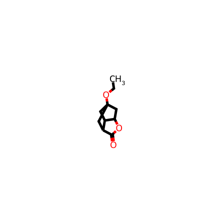 CCOC12CC3OC(=O)C(C1)C3C2